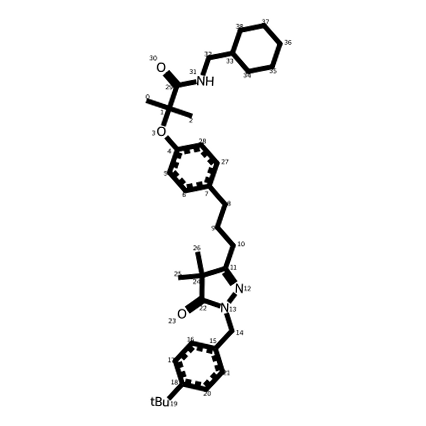 CC(C)(Oc1ccc(CCCC2=NN(Cc3ccc(C(C)(C)C)cc3)C(=O)C2(C)C)cc1)C(=O)NCC1CCCCC1